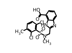 Cc1ccc(Cl)c(S(=O)(=O)N(C)Cc2nc3cccc(C(=O)O)c3[nH]2)c1Cl